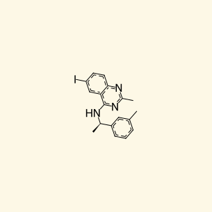 Cc1cccc([C@@H](C)Nc2nc(C)nc3ccc(I)cc23)c1